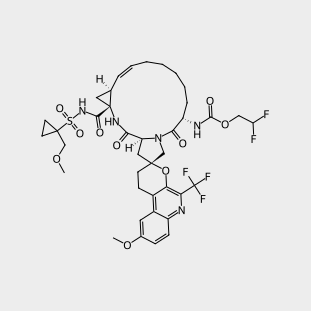 COCC1(S(=O)(=O)NC(=O)[C@@]23C[C@H]2/C=C\CCCCC[C@H](NC(=O)OCC(F)F)C(=O)N2C[C@@]4(CCc5c(c(C(F)(F)F)nc6ccc(OC)cc56)O4)C[C@H]2C(=O)N3)CC1